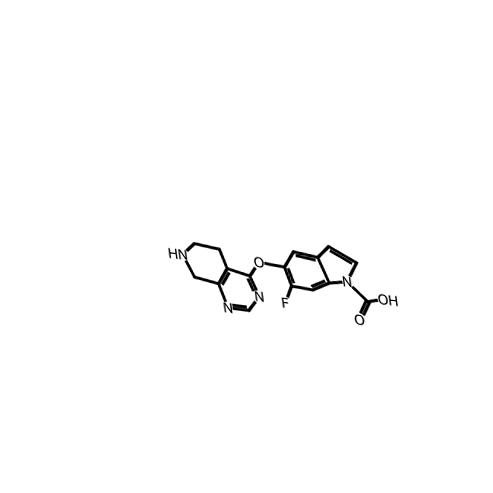 O=C(O)n1ccc2cc(Oc3ncnc4c3CCNC4)c(F)cc21